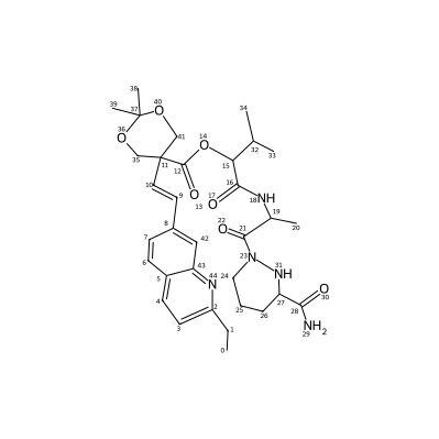 CCc1ccc2ccc(/C=C/C3(C(=O)OC(C(=O)NC(C)C(=O)N4CCCC(C(N)=O)N4)C(C)C)COC(C)(C)OC3)cc2n1